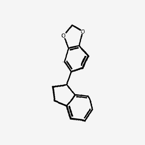 [c]1c(C2CCc3ccccc32)ccc2c1OCO2